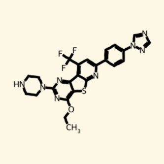 CCOc1nc(N2CCNCC2)nc2c1sc1nc(-c3ccc(-n4cncn4)cc3)cc(C(F)(F)F)c12